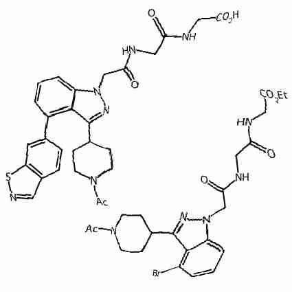 CC(=O)N1CCC(c2nn(CC(=O)NCC(=O)NCC(=O)O)c3cccc(-c4ccc5cnsc5c4)c23)CC1.CCOC(=O)CNC(=O)CNC(=O)Cn1nc(C2CCN(C(C)=O)CC2)c2c(Br)cccc21